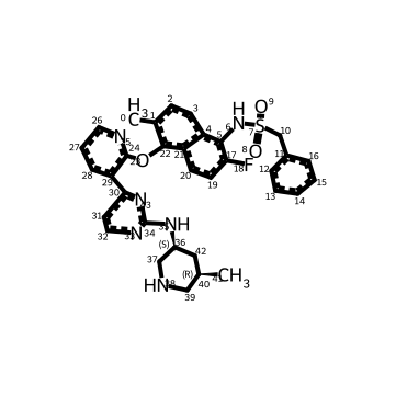 Cc1ccc2c(NS(=O)(=O)Cc3ccccc3)c(F)ccc2c1Oc1ncccc1-c1ccnc(N[C@@H]2CNC[C@H](C)C2)n1